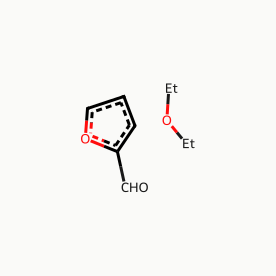 CCOCC.O=Cc1ccco1